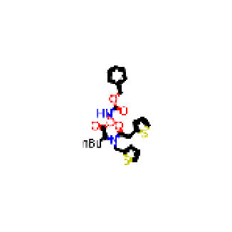 CCCCC(C(=O)ONC(=O)OCc1ccccc1)N(Cc1cccs1)C(=O)Cc1cccs1